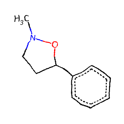 CN1CCC(c2ccccc2)O1